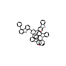 C1#CCC(n2c3ccccc3c3cccc(-n4c5c(c6cccc(-c7nc(-c8ccc9oc%10ccccc%10c9c8)nc(-c8cccc9c8sc8cccc(-c%10ccccc%10)c89)n7)c64)C=CCC5)c32)=C(c2ccccc2)C=C1